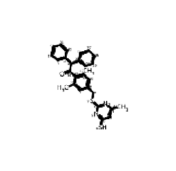 Cc1cc(S)nc(SCc2cc(C)c(C(=O)C(c3ccccc3)c3ccccc3)c(C)c2)n1